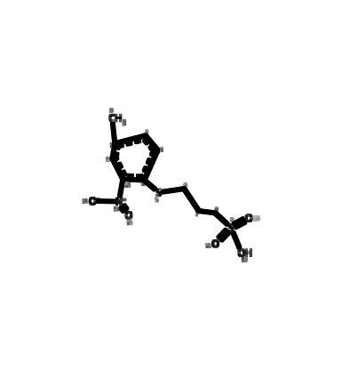 Cc1ccc(SCCCS(=O)(=O)O)c([N+](=O)[O-])c1